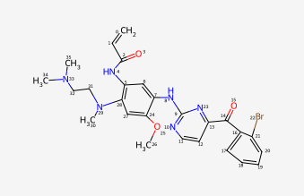 C=CC(=O)Nc1cc(Nc2nccc(C(=O)c3ccccc3Br)n2)c(OC)cc1N(C)CCN(C)C